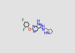 Fc1ccc(Oc2ncc3c(NCC4CCCN4)n[nH]c3n2)c(F)c1